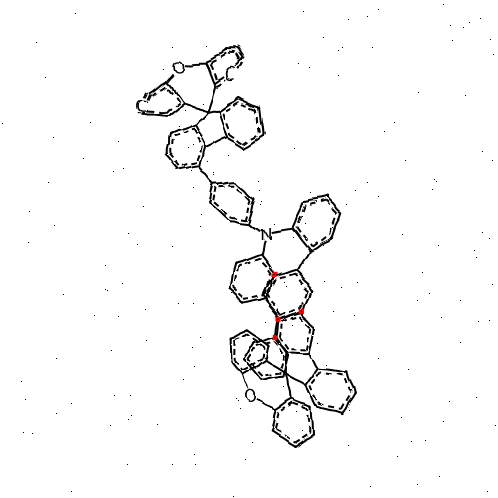 c1ccc(-c2ccc(-c3ccccc3N(c3ccc(-c4cccc5c4-c4ccccc4C54c5ccccc5Oc5ccccc54)cc3)c3cccc(-c4ccc5c(c4)C4(c6ccccc6Oc6ccccc64)c4ccccc4-5)c3)cc2)cc1